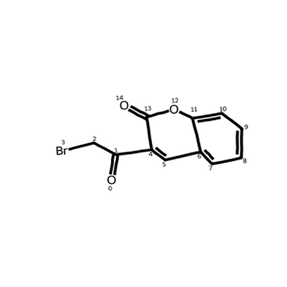 O=C(CBr)c1cc2ccccc2oc1=O